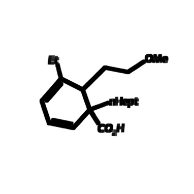 CCCCCCCC1(C(=O)O)C=CC=C(CC)C1CCOC